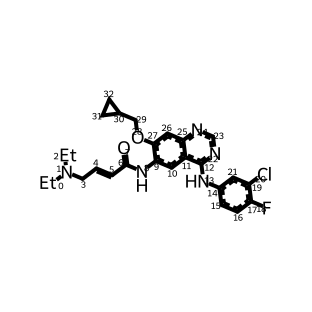 CCN(CC)CC=CC(=O)Nc1cc2c(Nc3ccc(F)c(Cl)c3)ncnc2cc1OCC1CC1